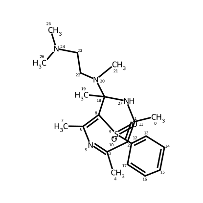 C/C1=C/C(C)=N\C(C)=C(/S(=O)(=O)c2ccccc2)C(C)(N(C)CCN(C)C)N1